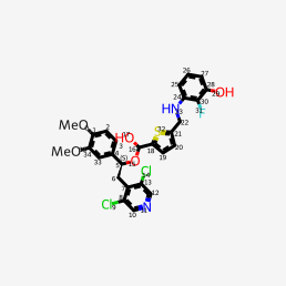 COc1ccc([C@H](Cc2c(Cl)cncc2Cl)OC(O)c2ccc(CNc3cccc(O)c3F)s2)cc1OC